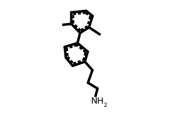 Cc1cccc(C)c1-c1cccc(CCCN)c1